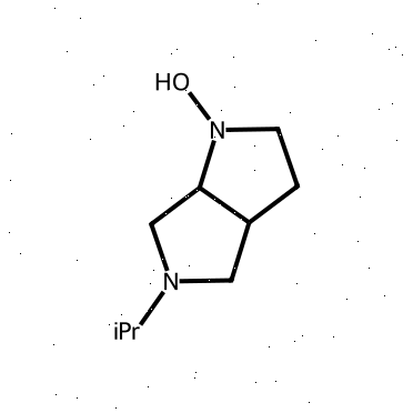 CC(C)N1CC2CCN(O)C2C1